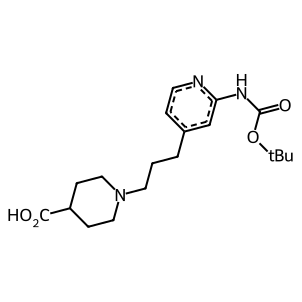 CC(C)(C)OC(=O)Nc1cc(CCCN2CCC(C(=O)O)CC2)ccn1